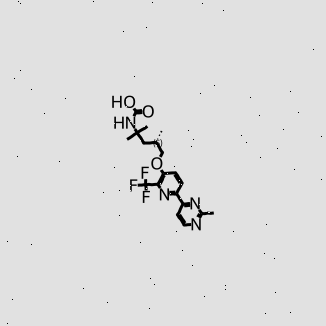 Cc1nccc(-c2ccc(OC[C@@H](C)CC(C)(C)NC(=O)O)c(C(F)(F)F)n2)n1